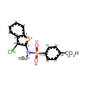 CCCCN(c1sc2ccccc2c1Cl)S(=O)(=O)c1ccc(C(=O)O)cc1